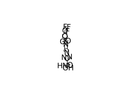 O=C(NO)c1cnc(N2CC3CN(S(=O)(=O)c4ccc(OC(F)(F)F)cc4)CC3C2)nc1